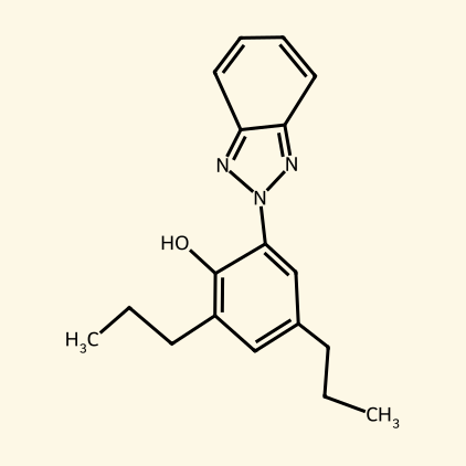 CCCc1cc(CCC)c(O)c(-n2nc3ccccc3n2)c1